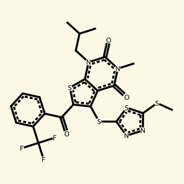 CSc1nnc(Sc2c(C(=O)c3ccccc3C(F)(F)F)sc3c2c(=O)n(C)c(=O)n3CC(C)C)s1